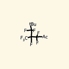 CC(=O)C(F)(F)C(F)(C(F)(F)F)C(F)(F)C(C)(C)C